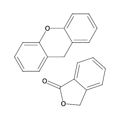 O=C1OCc2ccccc21.c1ccc2c(c1)Cc1ccccc1O2